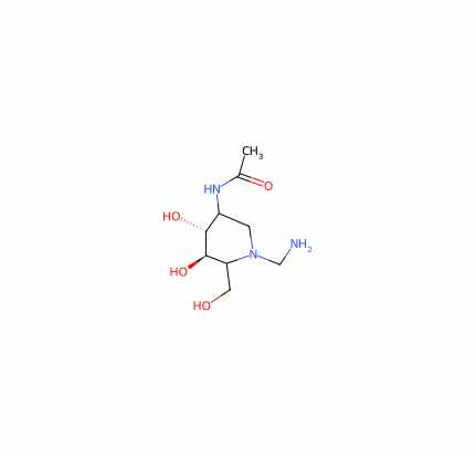 CC(=O)NC1CN(CN)C(CO)[C@@H](O)[C@@H]1O